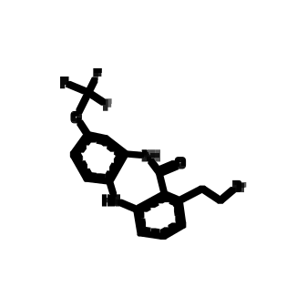 O=C1Nc2cc(OC(F)(F)F)ccc2Nc2cccc(CCBr)c21